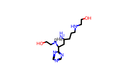 CCCCCCN(CCO)C(CC(N)CCCNCCO)c1ncncn1